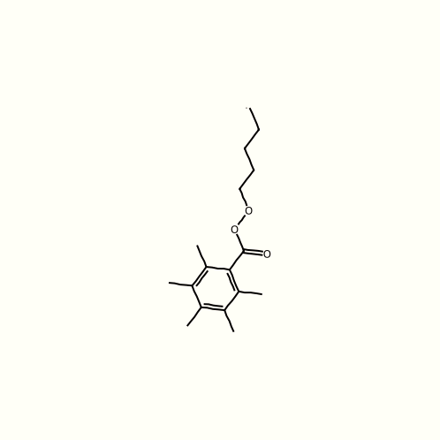 [CH2]CCCCOOC(=O)c1c(C)c(C)c(C)c(C)c1C